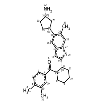 Cc1ccc(C(=O)N2CCCC[C@H]2c2cc3nc(N4CC[C@H](N)C4)c(C)cn3n2)cc1C